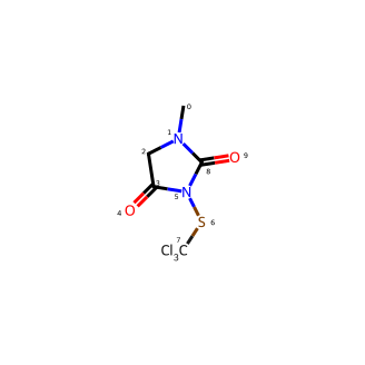 CN1CC(=O)N(SC(Cl)(Cl)Cl)C1=O